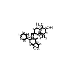 C=C1CCC2[C@@H](C)C(O)CC[C@]2(C)[C@@H]1CC(NCc1cccnc1)C1=CCOC1=O